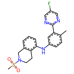 Cc1ccc(Nc2cccc3c2CCN(S(C)(=O)=O)C3)cc1-c1ncc(F)cn1